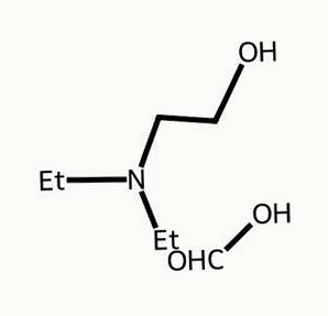 CCN(CC)CCO.O=CO